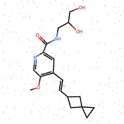 COc1cnc(C(=O)NCC(O)CO)cc1/C=C/C1CC2(CC2)C1